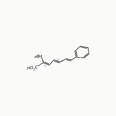 CCCC/C(=C\C=C\C=Cc1ccccc1)C(=O)O